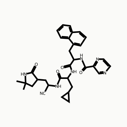 CC1(C)CC(CC(C#N)NC(=O)C(CC2CC2)NC(=O)C(Cc2cccc3ccccc23)NC(=O)c2cnccn2)C(=O)N1